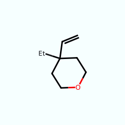 C=CC1(CC)CCOCC1